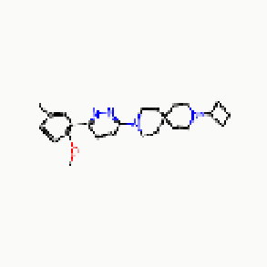 COc1ccc(C)cc1-c1ccc(N2CCC3(CC2)CCN(C2CCC2)CC3)nn1